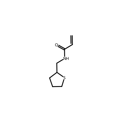 C=CC(=O)NCC1CCCS1